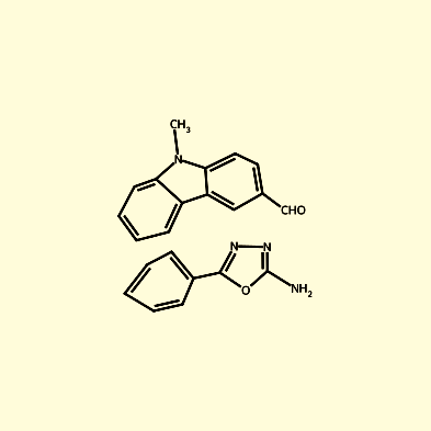 Cn1c2ccccc2c2cc(C=O)ccc21.Nc1nnc(-c2ccccc2)o1